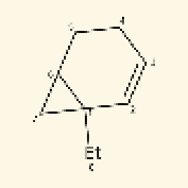 [CH2]CC12C=CCCC1C2